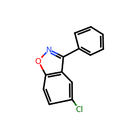 Clc1ccc2onc(-c3ccccc3)c2c1